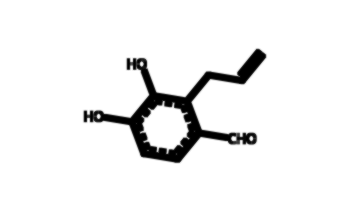 C=CCc1c(C=O)ccc(O)c1O